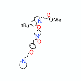 CCCCc1cc(OC2CCN(C(=O)Cc3ccc(OCCCN4CCCCCC4)cc3)CC2)c2nc(CCC(=O)OC)ccc2c1